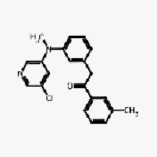 Cc1cccc(C(=O)Cc2cccc(N(C)c3cncc(Cl)c3)c2)c1